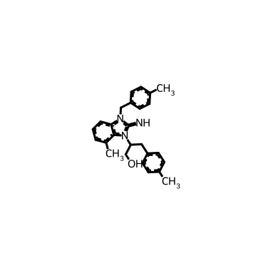 Cc1ccc(CC(CO)n2c(=N)n(Cc3ccc(C)cc3)c3cccc(C)c32)cc1